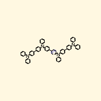 C=C(/C=C\C(=C/C)c1ccc(N(c2ccccc2)c2ccc(-c3ccc(N(c4ccccc4)c4ccccc4)cc3)cc2)cc1)N(c1ccccc1)c1ccc(-c2ccc(N(c3ccccc3)c3ccccc3)cc2)cc1